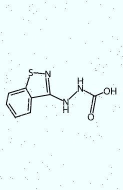 O=C(O)NNc1nsc2ccccc12